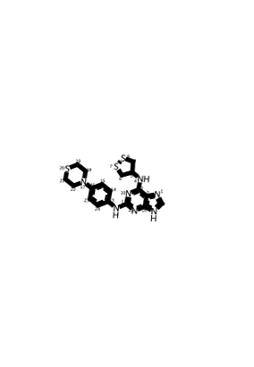 c1nc2c(NC3CSSC3)nc(Nc3ccc(N4CCSCC4)cc3)nc2[nH]1